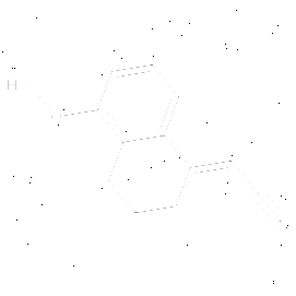 COc1cccc2c1CCCC2=CC#N